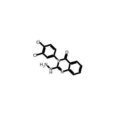 NNc1nc2ccccc2c(=O)n1-c1ccc(Cl)c(Cl)c1